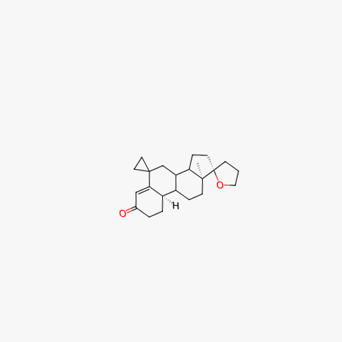 C[C@]12CCC3C(CC4(CC4)C4=CC(=O)CC[C@@H]43)C1CC[C@@]21CCCO1